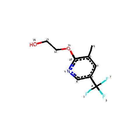 Cc1cc(C(F)(F)F)cnc1OCCO